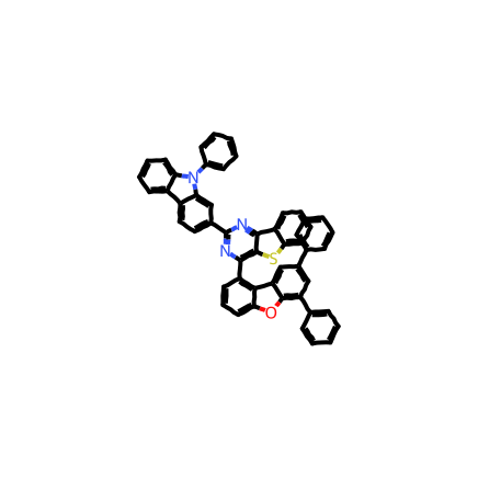 c1ccc(-c2cc(-c3ccccc3)c3oc4cccc(-c5nc(-c6ccc7c8ccccc8n(-c8ccccc8)c7c6)nc6c5sc5ccccc56)c4c3c2)cc1